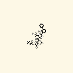 CC(C)CC(NC(=O)C(NC(=O)c1cccc(-c2ccccc2)n1)C(C)O)B1OC(=O)[C@H](CC(=O)OC(C)(C)C)O1